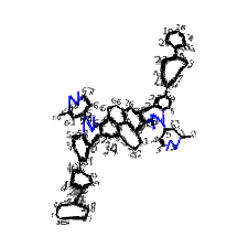 CC1=NC=CC(n2c3ccc(-c4ccc(-c5ccccc5)cc4)cc3c3cc4c5c(c32)CCc2cc3c6cc(-c7ccc(C8C=CC=CC8)cc7)ccc6n(-c6ccnc(C)c6)c3c(c2-5)CC4)C1